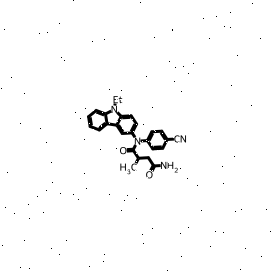 CCn1c2ccccc2c2cc(N(C(=O)C(C)CC(N)=O)c3ccc(C#N)cc3)ccc21